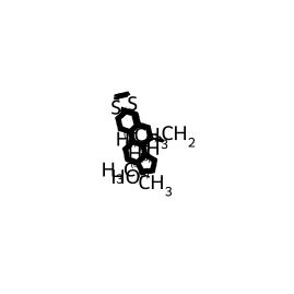 C=C[C@@H]1CC2=CC3(CC[C@]2(C)[C@H]2CC[C@@]4(C)[C@@H](CC[C@]4(C)O)[C@H]12)SCCS3